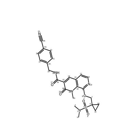 CN(C)S(=O)(=O)C1(COc2nccc3cc(C(=O)NCc4ccc(C#N)cc4)c(=O)n(C)c23)CC1